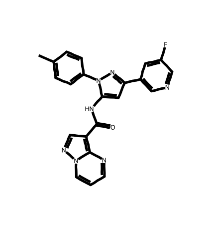 Cc1ccc(-n2nc(-c3cncc(F)c3)cc2NC(=O)c2cnn3cccnc23)cc1